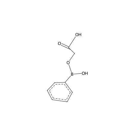 O=C(O)COB(O)c1ccccc1